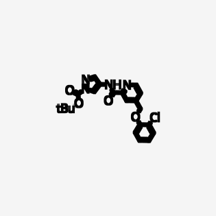 CC(C)(C)OC(=O)n1cc(NC(=O)c2cc(COc3ccccc3Cl)ccn2)cn1